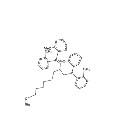 COc1ccccc1P(CC(CCCCCCOC(C)(C)C)CP(c1ccccc1OC)c1ccccc1OC)c1ccccc1OC